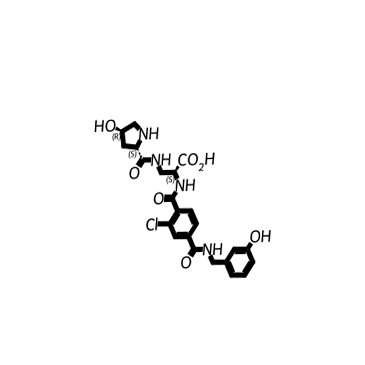 O=C(NCc1cccc(O)c1)c1ccc(C(=O)N[C@@H](CNC(=O)[C@@H]2C[C@@H](O)CN2)C(=O)O)c(Cl)c1